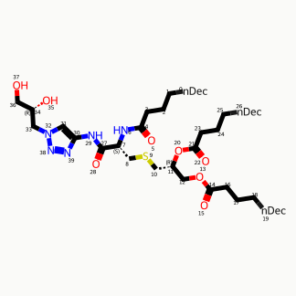 CCCCCCCCCCCCCC(=O)N[C@H](CSC[C@@H](COC(=O)CCCCCCCCCCCCC)OC(=O)CCCCCCCCCCCCC)C(=O)Nc1cn(C[C@@H](O)CO)nn1